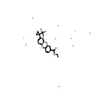 CCOC(=O)c1ccc(Oc2ccc(C3(C(F)(F)F)CC3)cc2)c(F)c1